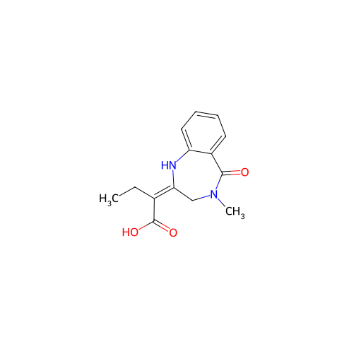 CC/C(C(=O)O)=C1/CN(C)C(=O)c2ccccc2N1